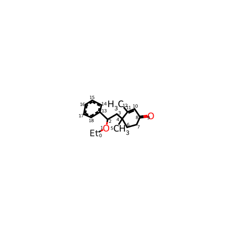 CCOC(CC1(C)CCC(=O)C=C1C)c1ccccc1